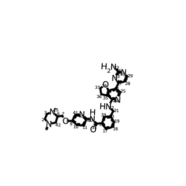 CN1CCN(C)C(COc2ccc(NC(=O)c3cccc(CNc4ncc(-c5ccnc(N)n5)c5c4CCO5)c3)nc2)C1